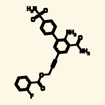 NC(=O)c1cc(C#CCOC(=O)c2ccccc2F)cc(-c2ccc(S(N)(=O)=O)cc2)c1N